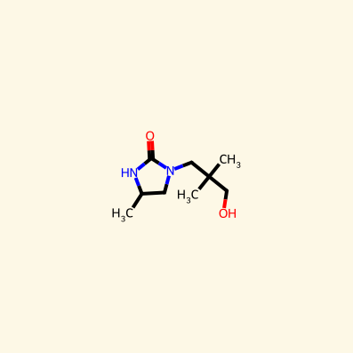 CC1CN(CC(C)(C)CO)C(=O)N1